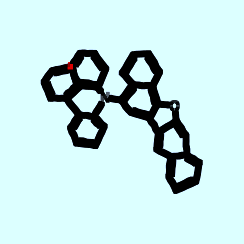 c1ccc(-c2ccccc2N(c2ccccc2)c2cc3c4cc5ccccc5cc4oc3c3ccccc23)cc1